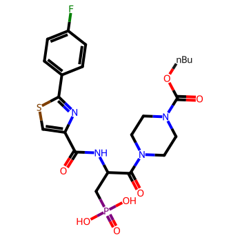 CCCCOC(=O)N1CCN(C(=O)C(CP(=O)(O)O)NC(=O)c2csc(-c3ccc(F)cc3)n2)CC1